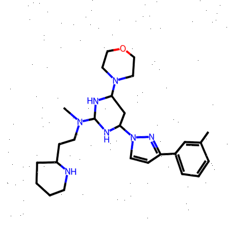 Cc1cccc(-c2ccn(C3CC(N4CCOCC4)NC(N(C)CCC4CCCCN4)N3)n2)c1